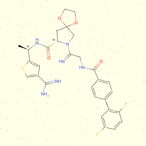 C[C@@H](NC(=O)[C@@H]1CC2(CN1C(=N)CNC(=O)c1ccc(-c3cc(F)ccc3F)cc1)OCCO2)c1cc(C(=N)N)cs1